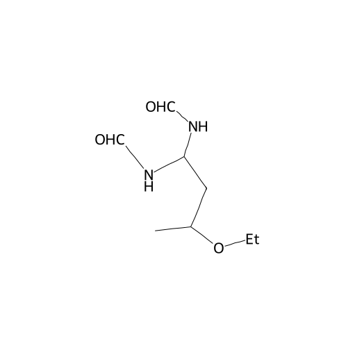 CCOC(C)CC(NC=O)NC=O